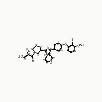 COc1cccc(Oc2ccc(-c3nc(C4CCCN(C(=O)/C(C#N)=C/C(C)(C)C)C4)n4ccncc34)cc2)c1F